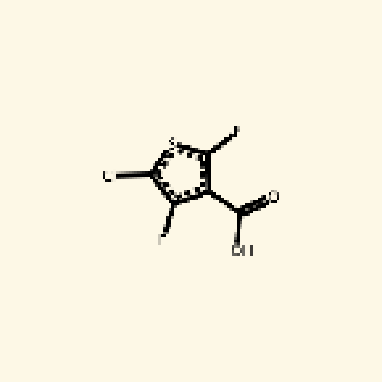 O=C(O)c1c(F)sc(Cl)c1F